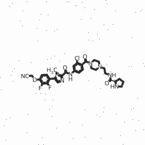 Cn1c(-c2ccc(OCC#N)c(F)c2F)cnc1C(=O)Nc1ccc(C(=O)N2CCN(CCNC(=O)[C@H]3CCCN3)CC2)c(Cl)c1